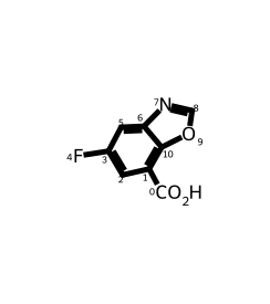 O=C(O)c1cc(F)cc2ncoc12